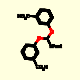 CCCCCC(Oc1cccc(C(=O)O)c1)Oc1cccc(C(=O)O)c1